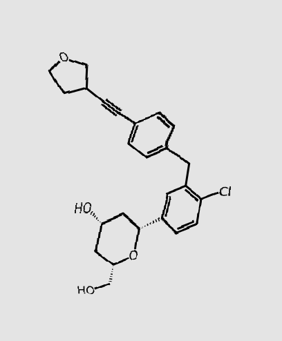 OC[C@@H]1C[C@H](O)C[C@H](c2ccc(Cl)c(Cc3ccc(C#CC4CCOC4)cc3)c2)O1